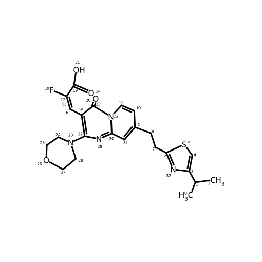 CC(C)c1csc(CCc2ccn3c(=O)c(/C=C(/F)C(=O)O)c(N4CCOCC4)nc3c2)n1